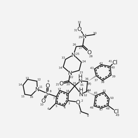 CCOc1cc(C)c(S(=O)(=O)N2CCCCC2)cc1C1(C(=O)N2CCN(CC(=O)N(C)OC)CC2)N[C@H](c2ccc(Cl)cc2)[C@H](c2ccc(Cl)cc2)N1